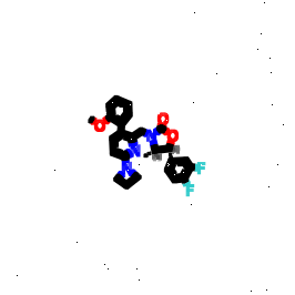 COc1ccccc1-c1ccc(N2CCC2)nc1CN1C(=O)O[C@H](c2ccc(F)c(F)c2)[C@@H]1C